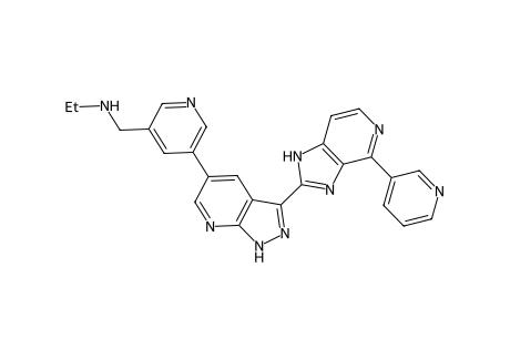 CCNCc1cncc(-c2cnc3[nH]nc(-c4nc5c(-c6cccnc6)nccc5[nH]4)c3c2)c1